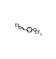 CCOC=Cc1ccc(OC(F)(F)F)cc1